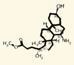 COC(=O)CC[C@@H](C)[C@H]1CC[C@H]2C3[C@H](N)CC4C[C@H](O)CCC4(C)[C@H]3CCC12C